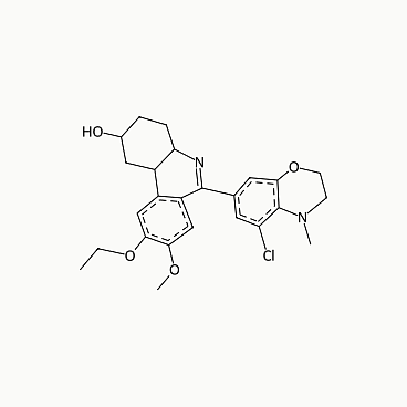 CCOc1cc2c(cc1OC)C(c1cc(Cl)c3c(c1)OCCN3C)=NC1CCC(O)CC21